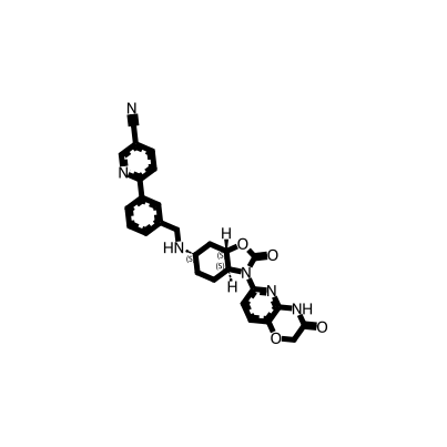 N#Cc1ccc(-c2cccc(CN[C@H]3CC[C@H]4[C@H](C3)OC(=O)N4c3ccc4c(n3)NC(=O)CO4)c2)nc1